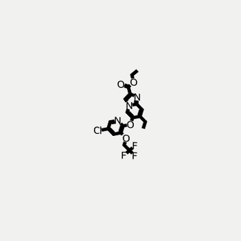 CCOC(=O)c1cn2cc(Oc3ncc(Cl)cc3OCC(F)(F)F)c(CC)cc2n1